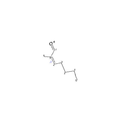 CCCC/C=C(/C)C=O